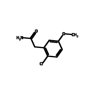 COc1ccc(Cl)c(CC(N)=O)c1